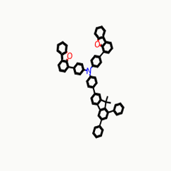 CC1(C)c2cc(-c3ccc(N(c4ccc(-c5cccc6c5oc5ccccc56)cc4)c4ccc(-c5cccc6c5oc5ccccc56)cc4)cc3)ccc2-c2cc(-c3ccccc3)cc(-c3ccccc3)c21